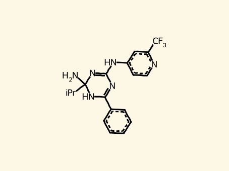 CC(C)C1(N)N=C(Nc2ccnc(C(F)(F)F)c2)N=C(c2ccccc2)N1